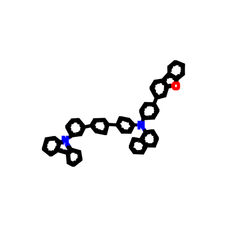 c1cc(-c2ccc(-c3ccc(N(c4ccc(-c5ccc6c(c5)oc5ccccc56)cc4)c4cccc5ccccc45)cc3)cc2)cc(-n2c3ccccc3c3ccccc32)c1